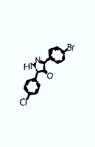 O=C1C(c2ccc(Br)cc2)=NNC1c1ccc(Cl)cc1